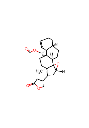 C[C@]12CC[C@H]3[C@@H](CC[C@H]4CCC=C[C@@]43COC=O)[C@]13O[C@@H]3C[C@@H]2[C@@H]1COC(=O)C1